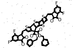 O=C1C(=O)c2c(F)cc(F)cc2/C1=C/c1cc2sc3c4c(sc3c2s1)-c1sc(/C=C2\C(=O)C(=O)c3cc(F)cc(F)c32)cc1C4(C(=O)OCc1ccccc1)C(=O)OCc1ccccc1